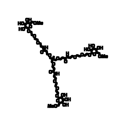 COCC1OC(OCCOCCOCCNC(=O)CCOCC(C)(COCCC(=O)NCCOCCOCCOC2OC(COC)C(O)C(O)C2O)COCCC(=O)NCCOCCOCCOC2OC(COC)C(O)C(O)C2O)C(O)C(O)C1O